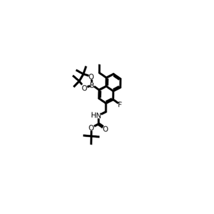 CCc1cccc2c(F)c(CNC(=O)OC(C)(C)C)cc(B3OC(C)(C)C(C)(C)O3)c12